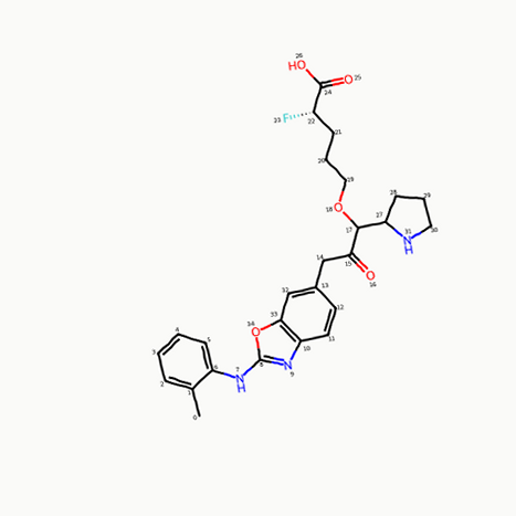 Cc1ccccc1Nc1nc2ccc(CC(=O)C(OCCC[C@H](F)C(=O)O)C3CCCN3)cc2o1